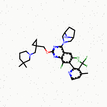 Cc1ccnc(-c2c(Cl)cc3c(N4CC5CCC(C4)N5)nc(OCC4(CN5CCCC(C)(C)C5)CC4)nc3c2F)c1C(F)(F)F